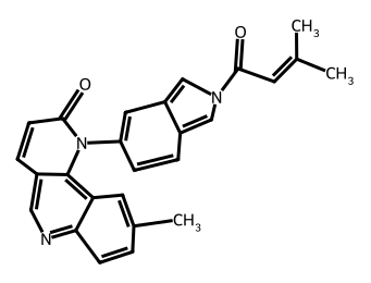 CC(C)=CC(=O)n1cc2ccc(-n3c(=O)ccc4cnc5ccc(C)cc5c43)cc2c1